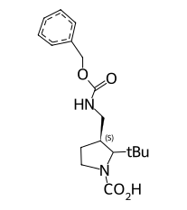 CC(C)(C)C1[C@H](CNC(=O)OCc2ccccc2)CCN1C(=O)O